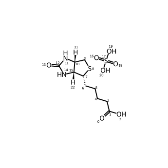 O=C(O)CCCC[C@H]1SC[C@H]2NC(=O)N[C@H]21.O=S(=O)(O)O